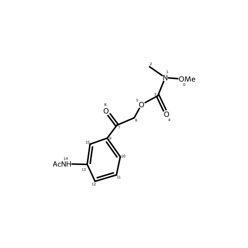 CON(C)C(=O)OCC(=O)c1cccc(NC(C)=O)c1